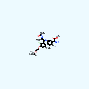 COC(=O)/N=C(SC)/C(=N/c1ccc(C#N)c(C(N)C(=O)OC(C)(C)C)c1)c1cc(OC)cc(OCCO[Si](C(C)C)(C(C)C)C(C)C)c1F